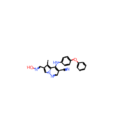 Cc1c(C=NO)cn2ncc(C#N)c(Nc3ccc(Oc4ccccc4)cc3)c12